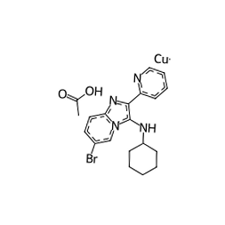 Brc1ccc2nc(-c3ccccn3)c(NC3CCCCC3)n2c1.CC(=O)O.[Cu]